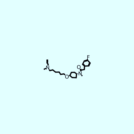 C=CCN(C)CCCCCCO[C@H]1CC[C@H](N(C)C(=O)Cc2ccc(F)cc2)CC1